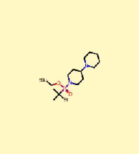 CCC(C)(C)P(=O)(OCC(C)(C)C)N1CCC(N2CCCCC2)CC1